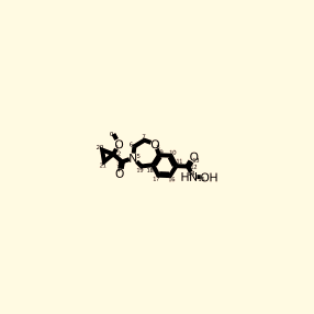 COC1(C(=O)N2CCOc3cc(C(=O)NO)ccc3C2)CC1